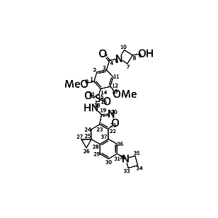 COc1cc(C(=O)N2CC(O)C2)cc(OC)c1S(=O)(=O)Nc1noc2c1CC1(CC1)c1ccc(N3CCC3)cc1-2